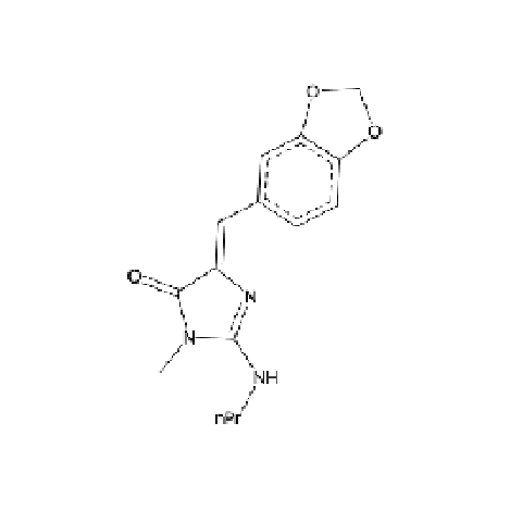 CCCNC1=N/C(=C\c2ccc3c(c2)OCO3)C(=O)N1C